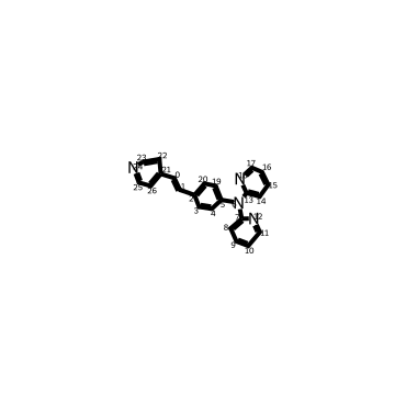 C(=Cc1ccc(N(c2ccccn2)c2ccccn2)cc1)c1ccncc1